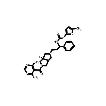 Cc1ccc(OC(=O)NC(CCN2CC3CN(C(=O)c4c(C)ncnc4C)C[C@@H]3C2)c2ccccc2)s1